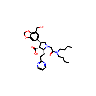 CCCCN(CCCC)C(=O)CN1C[C@H](c2cc(CO)c3c(c2)OCO3)[C@@H](C(=O)O)[C@@H]1CCc1ncccn1